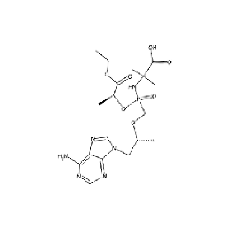 CCOC(=O)[C@H](C)OP(=O)(CO[C@H](C)Cn1cnc2c(N)ncnc21)NC(C)(C)C(=O)O